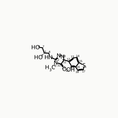 Cn1c(NC[C@H](O)CO)nnc(-c2ccc3sccc3c2O)c1=O